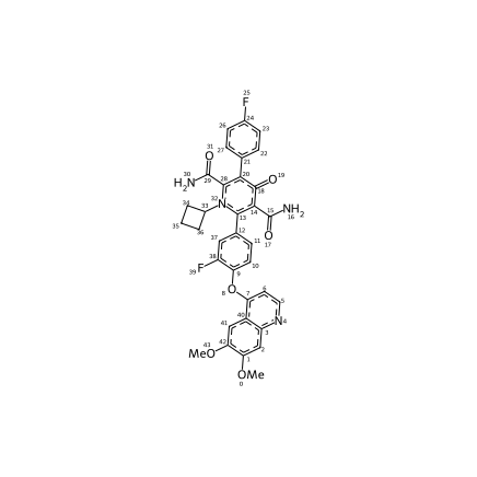 COc1cc2nccc(Oc3ccc(-c4c(C(N)=O)c(=O)c(-c5ccc(F)cc5)c(C(N)=O)n4C4CCC4)cc3F)c2cc1OC